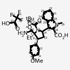 CC[C@@]1(C(N)=O)[C@H](c2ccc(OC)cc2)CC(c2c(C(=O)O)n(C)c3ccccc23)N1C(=O)OC(C)(C)C.O=C(O)C(F)(F)F